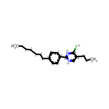 CCCCCCCc1ccc(-c2ncc(CCC)c(F)n2)cc1